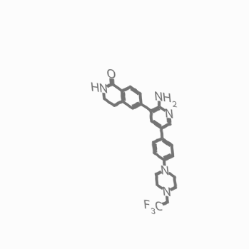 Nc1ncc(-c2ccc(N3CCN(CC(F)(F)F)CC3)cc2)cc1-c1ccc2c(c1)CCNC2=O